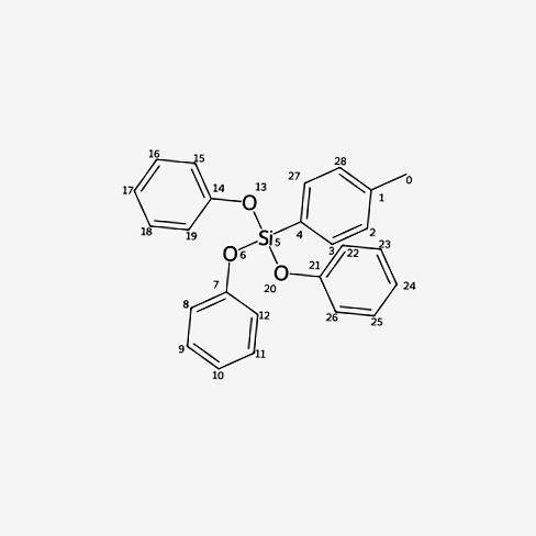 Cc1ccc([Si](Oc2ccccc2)(Oc2ccccc2)Oc2ccccc2)cc1